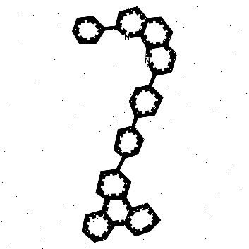 c1ccc(-c2ccc3ccc4ccc(-c5ccc(-c6ccc(-c7ccc8c9ccccc9c9ccccc9c8c7)cc6)cc5)nc4c3n2)cc1